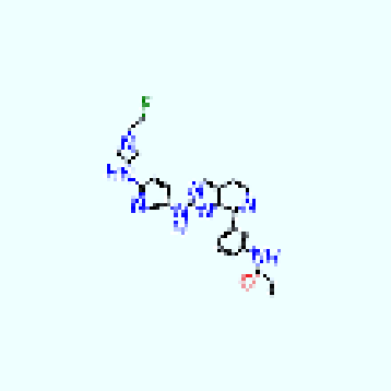 C=CC(=O)Nc1cccc(-c2nccc3cnc(Nc4ccc(NC5CN(CCF)C5)nc4)nc23)c1